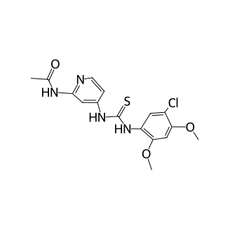 COc1cc(OC)c(NC(=S)Nc2ccnc(NC(C)=O)c2)cc1Cl